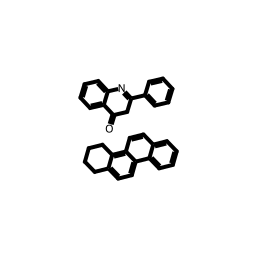 O=C1CC(c2ccccc2)=Nc2ccccc21.c1ccc2c(c1)ccc1c3c(ccc12)CCCC3